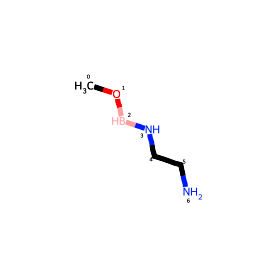 COBNCCN